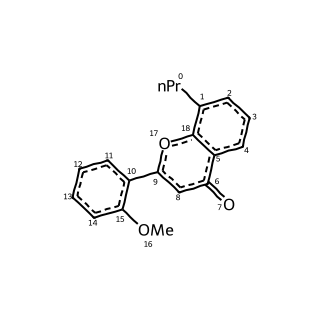 CCCc1cccc2c(=O)cc(-c3ccccc3OC)oc12